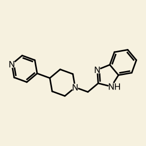 c1ccc2[nH]c(CN3CCC(c4ccncc4)CC3)nc2c1